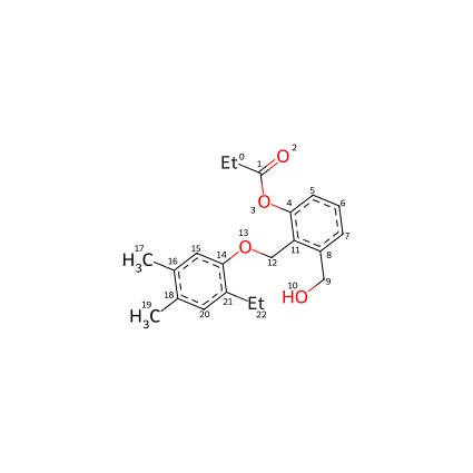 CCC(=O)Oc1cccc(CO)c1COc1cc(C)c(C)cc1CC